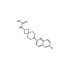 O=C(O)NC1CC2(CCN(c3ccc4cc(F)ccc4n3)CC2)C1